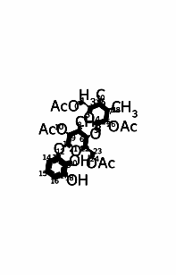 CC(=O)OC[C@H]1O[C@H](O[C@H]2[C@H](C)[C@@H](OC(C)=O)[C@H](Oc3cccc(O)c3O)O[C@@H]2COC(C)=O)[C@H](OC(C)=O)[C@@H](C)[C@@H]1C